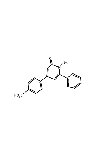 Nn1c(-c2ccccc2)cc(-c2ccc(C(=O)O)cc2)cc1=O